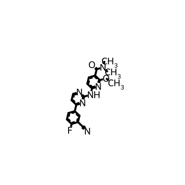 COc1nc(Nc2nccc(-c3ccc(F)c(C#N)c3)n2)ccc1C(=O)N(C)C